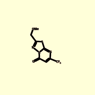 COCc1nn2c(=O)cc(C(F)(F)F)nc2s1